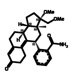 COC[C@]1(OC)CC[C@H]2[C@@H]3CCC4=CC(=O)CCC4=C3[C@@H](c3ccccc3C(N)=O)C[C@@]21C